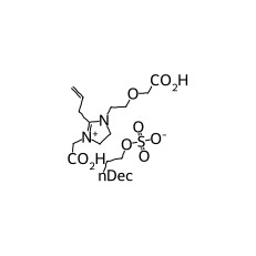 C=CCC1=[N+](CC(=O)O)CCN1CCOCC(=O)O.CCCCCCCCCCCCOS(=O)(=O)[O-]